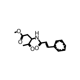 COC(=O)CC(NC(=O)/C=C/c1ccccc1)C(C)=O